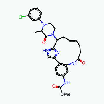 COC(=O)Nc1ccc2c(c1)NC(=O)CC/C=C/CC(N1CCN(c3cccc(Cl)c3)C(C)C1=O)c1nc-2c[nH]1